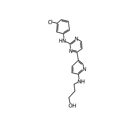 OCCCNc1ccc(-c2ccnc(Nc3cccc(Cl)c3)n2)cn1